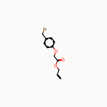 C=CCOC(=O)COc1ccc(CBr)cc1